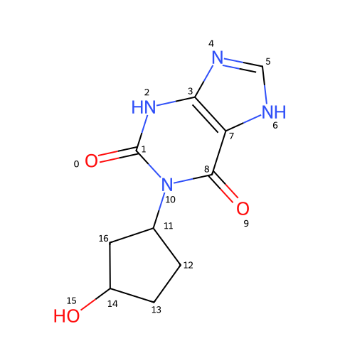 O=c1[nH]c2nc[nH]c2c(=O)n1C1CCC(O)C1